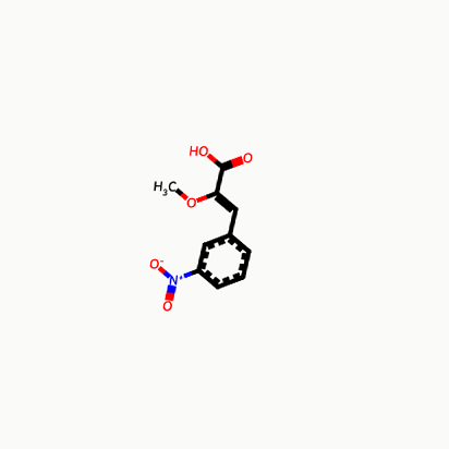 CO/C(=C\c1cccc([N+](=O)[O-])c1)C(=O)O